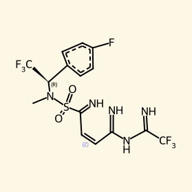 CN([C@H](c1ccc(F)cc1)C(F)(F)F)S(=O)(=O)C(=N)/C=C\C(=N)NC(=N)C(F)(F)F